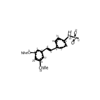 COc1cc(/C=C/c2ccc(NS(C)(=O)=O)cc2)cc(OC)c1